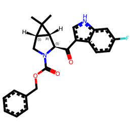 CC1(C)[C@@H]2[C@@H](C(=O)c3c[nH]c4cc(F)ccc34)N(C(=O)OCc3ccccc3)C[C@@H]21